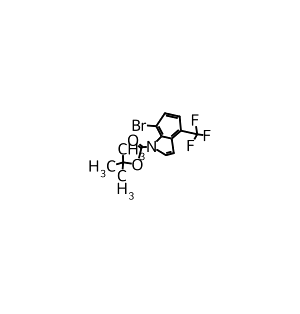 CC(C)(C)OC(=O)n1ccc2c(C(F)(F)F)ccc(Br)c21